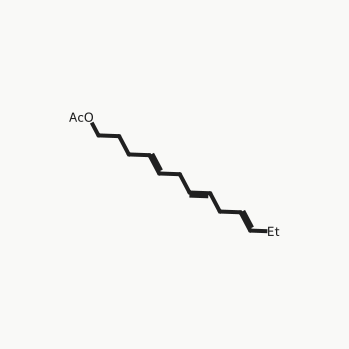 CCC=CCC=CCC=CCCCOC(C)=O